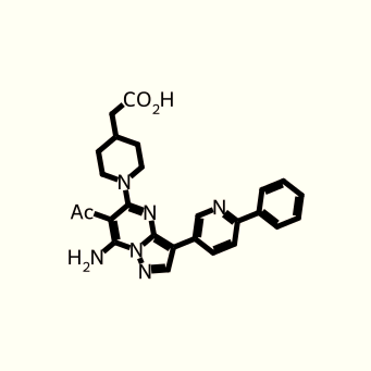 CC(=O)c1c(N2CCC(CC(=O)O)CC2)nc2c(-c3ccc(-c4ccccc4)nc3)cnn2c1N